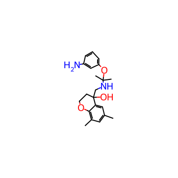 Cc1cc(C)c2c(c1)C(O)(CNC(C)(C)Oc1cccc(N)c1)CCO2